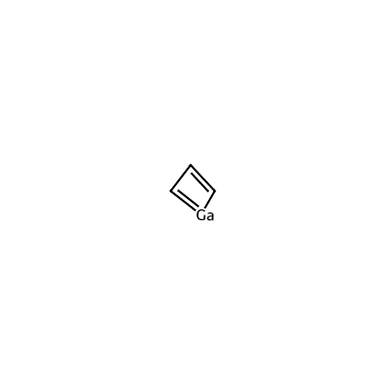 C1=[CH][Ga]=[CH]1